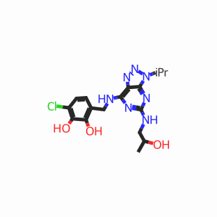 CC(O)CNc1nc(NCc2ccc(Cl)c(O)c2O)c2nnn(C(C)C)c2n1